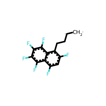 [CH2][CH]CCc1c(F)cc(F)c2c(F)c(F)c(F)c(F)c12